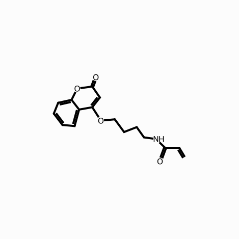 C=CC(=O)NCCCCOc1cc(=O)oc2ccccc12